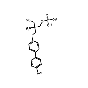 CCCc1ccc(-c2ccc(CCC(N)(CO)COP(=O)(O)O)cc2)cc1